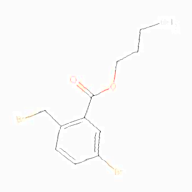 CCCCOC(=O)c1cc(Br)ccc1CBr